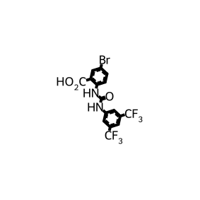 O=C(Nc1cc(C(F)(F)F)cc(C(F)(F)F)c1)Nc1ccc(Br)cc1C(=O)O